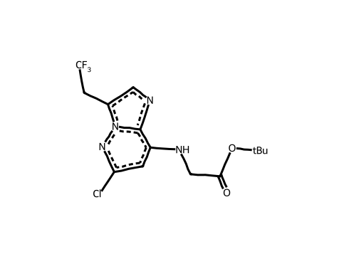 CC(C)(C)OC(=O)CNc1cc(Cl)nn2c(CC(F)(F)F)cnc12